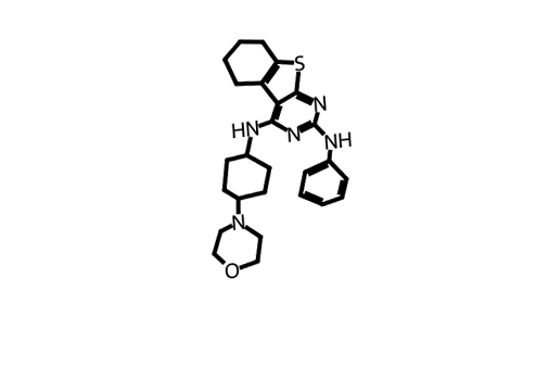 c1ccc(Nc2nc(NC3CCC(N4CCOCC4)CC3)c3c4c(sc3n2)CCCC4)cc1